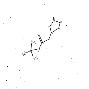 CC(C)(C)OC(=O)CC1CCNC1